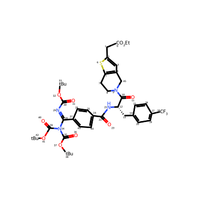 CCOC(=O)Cc1cc2c(s1)CCN(C(=O)[C@H](Cc1ccc(C(F)(F)F)cc1)NC(=O)c1ccc(C(=NC(=O)OC(C)(C)C)N(C(=O)OC(C)(C)C)C(=O)OC(C)(C)C)cc1)C2